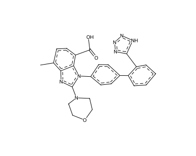 Cc1ccc(C(=O)O)c2c1nc(N1CCOCC1)n2-c1ccc(-c2ccccc2-c2nnn[nH]2)cc1